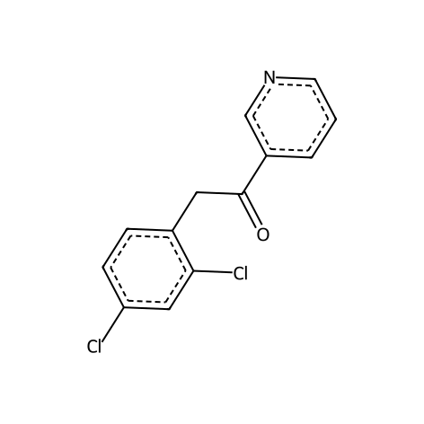 O=C(Cc1ccc(Cl)cc1Cl)c1cccnc1